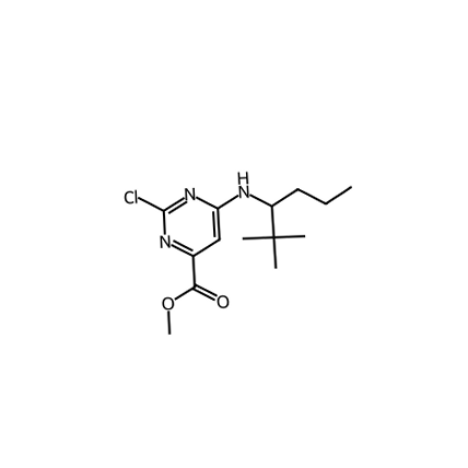 CCCC(Nc1cc(C(=O)OC)nc(Cl)n1)C(C)(C)C